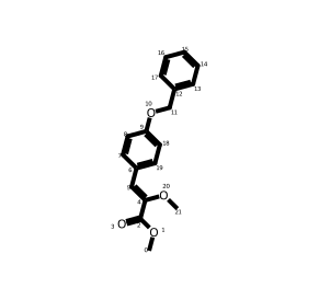 COC(=O)/C(=C/c1ccc(OCc2ccccc2)cc1)OC